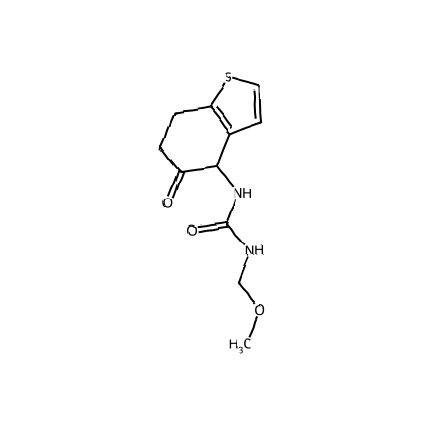 COCNC(=O)NC1C(=O)CCc2sccc21